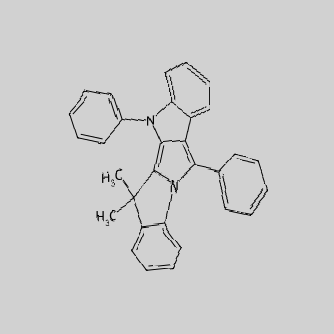 CC1(C)c2ccccc2-n2c(-c3ccccc3)c3c4ccccc4n(-c4ccccc4)c3c21